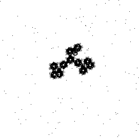 c1ccc(N(c2ccc(-c3cc(-c4ccc(N(c5ccccc5)c5cccc6ccccc56)cc4)cc(-c4cccc5c4oc4ccccc45)c3)cc2)c2cccc3ccccc23)cc1